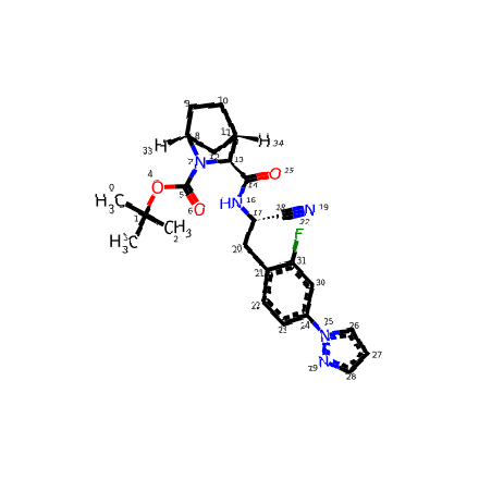 CC(C)(C)OC(=O)N1[C@@H]2CC[C@@H](C2)[C@H]1C(=O)N[C@H](C#N)Cc1ccc(-n2cccn2)cc1F